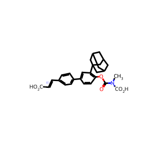 CN(C(=O)O)C(=O)Oc1ccc(-c2ccc(/C=C/C(=O)O)cc2)cc1C12CC3CC(CC(C3)C1)C2